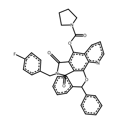 O=C(Oc1c2c(c(OC(c3ccccc3)c3ccccc3)c3ncccc13)C(=O)N(Cc1ccc(F)cc1)C2=O)N1CCCC1